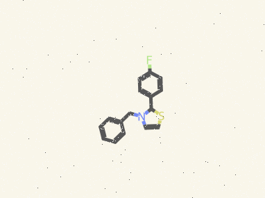 Fc1ccc(C2SC=CN2Cc2ccccc2)cc1